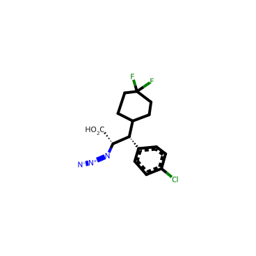 [N-]=[N+]=N[C@H](C(=O)O)[C@@H](c1ccc(Cl)cc1)C1CCC(F)(F)CC1